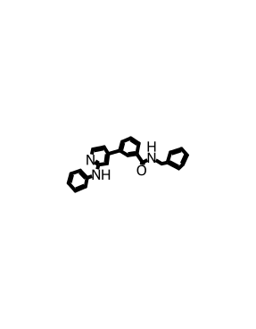 O=C(NCc1ccccc1)c1cccc(-c2ccnc(Nc3ccccc3)c2)c1